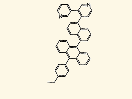 CCc1ccc(-c2c3ccccc3c(-c3cccc4c(-c5ccncc5-c5cccnc5)cccc34)c3ccccc23)cc1